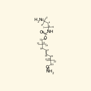 CC(C)(N)CC(C)(C)NC(=O)OCC(C)(C)C/C=C/CC(C)(C)CON